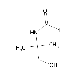 CC(C)(CO)NC(=O)I